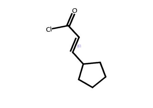 O=C(Cl)/C=C/C1CCCC1